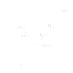 C=C(C)C(=O)OCC(O)C[N+]1=C(CCCCCCCCCCC)N(CCO)CC1.[OH-]